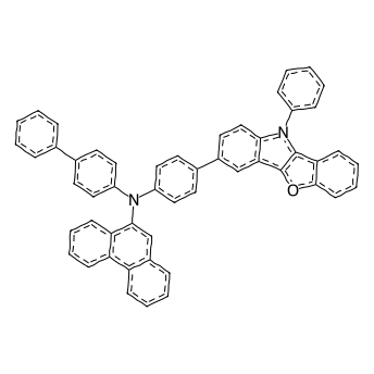 c1ccc(-c2ccc(N(c3ccc(-c4ccc5c(c4)c4oc6ccccc6c4n5-c4ccccc4)cc3)c3cc4ccccc4c4ccccc34)cc2)cc1